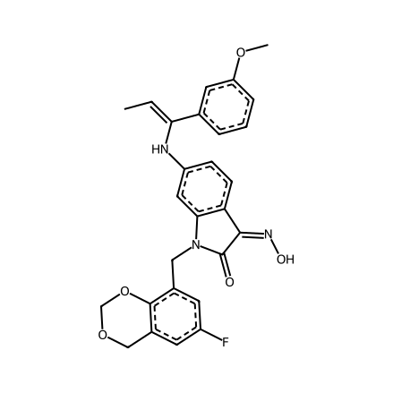 C/C=C(\Nc1ccc2c(c1)N(Cc1cc(F)cc3c1OCOC3)C(=O)/C2=N\O)c1cccc(OC)c1